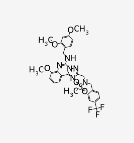 COc1ccc(CNc2nc3c(OC)cccc3c3nc(CN(Cc4ccc(C(F)(F)F)cc4)S(C)(=O)=O)nn23)c(OC)c1